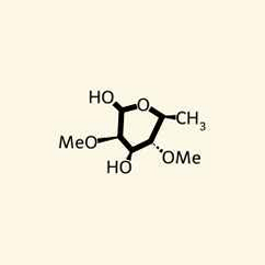 CO[C@@H]1[C@@H](O)[C@@H](OC)C(O)O[C@H]1C